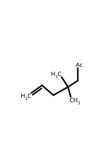 C=CCC(C)(C)CC(C)=O